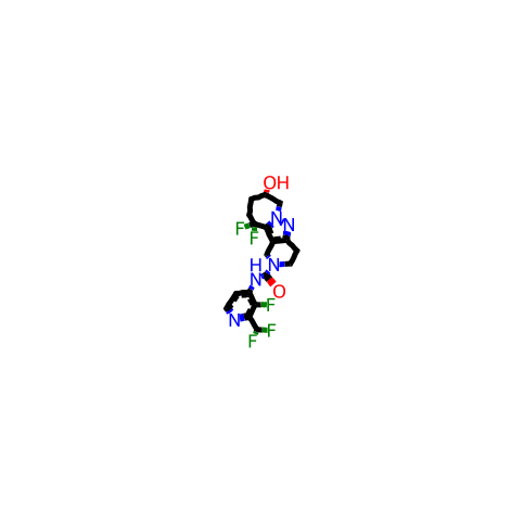 O=C(Nc1ccnc(C(F)F)c1F)N1CCc2nn3c(c2C1)C(F)(F)CCC(O)C3